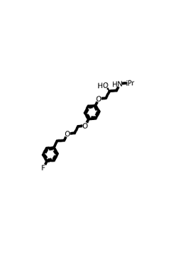 CC(C)NC[C@H](O)COc1ccc(OCCOCCc2ccc(F)cc2)cc1